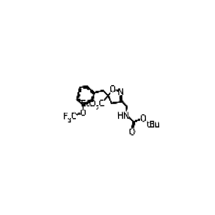 CCOC(=O)C1(Cc2cccc(OC(F)(F)F)c2)CC(CNC(=O)OC(C)(C)C)=NO1